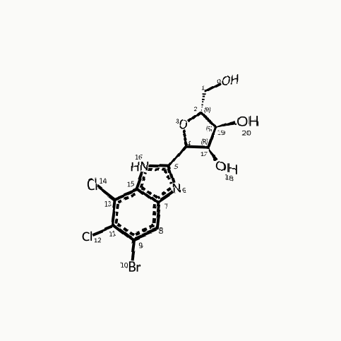 OC[C@H]1OC(c2nc3cc(Br)c(Cl)c(Cl)c3[nH]2)[C@H](O)[C@@H]1O